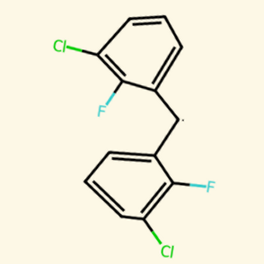 Fc1c(Cl)cccc1[CH]c1cccc(Cl)c1F